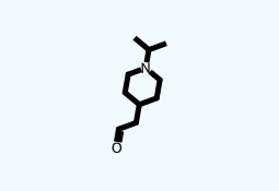 CC(C)N1CCC(CC=O)CC1